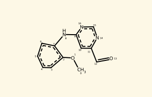 COc1ccccc1Nc1cc(C=O)ncn1